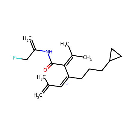 C=C(C)/C=C(/CCCC1CC1)C(C(=O)NC(=C)CF)=C(C)C